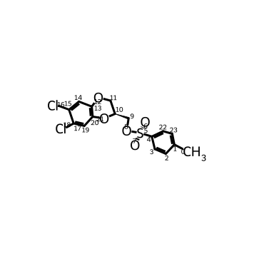 Cc1ccc(S(=O)(=O)OC[C@@H]2COc3cc(Cl)c(Cl)cc3O2)cc1